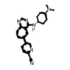 CN(C)[C@H]1CC[C@H](Nc2ncnc3ccc(-c4ccc(C#N)nc4)cc23)CC1